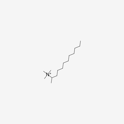 CCCCCCCCCCC(C)[N+](C)(C)C